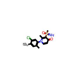 Cc1cc(C(C)(C)C)c(Cl)cc1-n1ccc(=O)c(S(C)(=N)=O)c1C